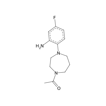 CC(=O)N1CCCN(c2ccc(F)cc2N)CC1